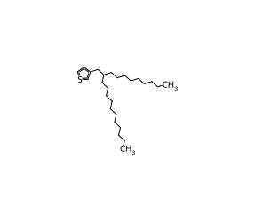 CCCCCCCCCCCC(CCCCCCCCC)Cc1ccsc1